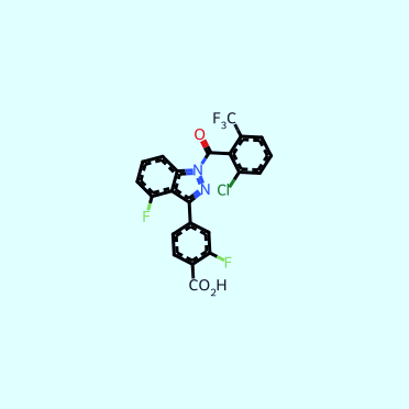 O=C(O)c1ccc(-c2nn(C(=O)c3c(Cl)cccc3C(F)(F)F)c3cccc(F)c23)cc1F